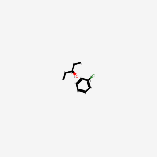 CCC(=O)CC.Clc1cc[c]cc1